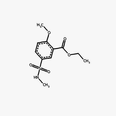 CCOC(=O)c1cc(S(=O)(=O)NC)ccc1OC